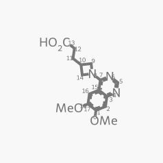 COc1cc2ncnc(N3CC(CCC(=O)O)C3)c2cc1OC